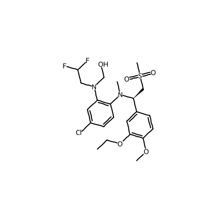 CCOc1cc([C@H](CS(C)(=O)=O)N(C)c2ccc(Cl)cc2N(CO)CC(F)F)ccc1OC